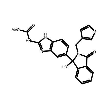 COC(=O)Nc1nc2cc(C3(O)c4ccccc4C(=O)N3Cc3ccsc3)ccc2[nH]1